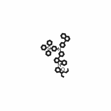 C=Cc1c(/C=C\C)oc2c(-n3c4ccccc4c4c(-c5cccc(N(c6ccc(-c7cccc8ccccc78)cc6)c6ccc([Si](c7ccccc7)(c7ccccc7)c7ccccc7)cc6)c5)cccc43)cccc12